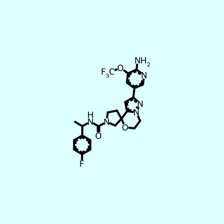 CC(NC(=O)N1CCC2(C1)OCCn1nc(-c3cnc(N)c(OC(F)(F)F)c3)cc12)c1ccc(F)cc1